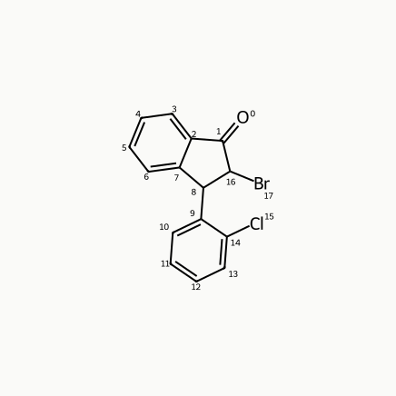 O=C1c2ccccc2C(c2ccccc2Cl)C1Br